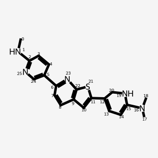 CNc1ccc(-c2ccc3cc(C4=CC=C(N(C)C)NC4)sc3n2)cn1